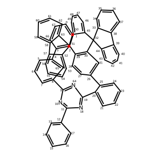 c1ccc(-c2cccc(-c3nc(-c4ccccc4)nc(-c4ccccc4-c4ccc5c(c4)C4(c6ccccc6-c6ccccc64)c4ccccc4C54c5ccccc5-c5ccccc54)n3)c2)cc1